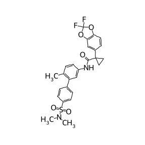 Cc1ccc(NC(=O)C2(c3ccc4c(c3)OC(F)(F)O4)CC2)cc1-c1ccc(S(=O)(=O)N(C)C)cc1